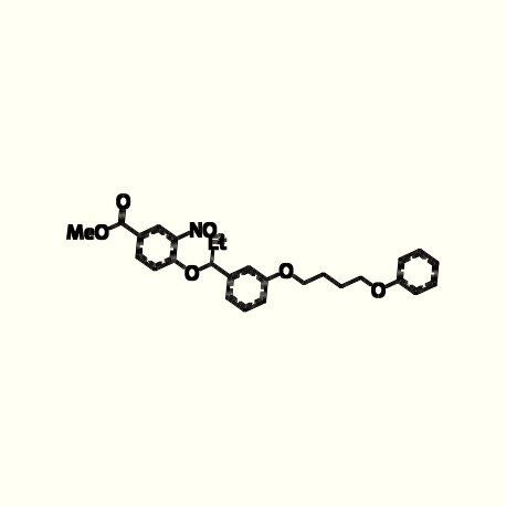 CCC(Oc1ccc(C(=O)OC)cc1[N+](=O)[O-])c1cccc(OCCCCOc2ccccc2)c1